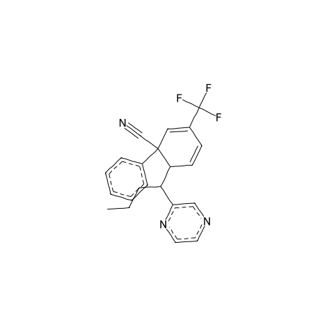 CCCC(c1cnccn1)C1C=CC(C(F)(F)F)=CC1(C#N)c1ccccc1